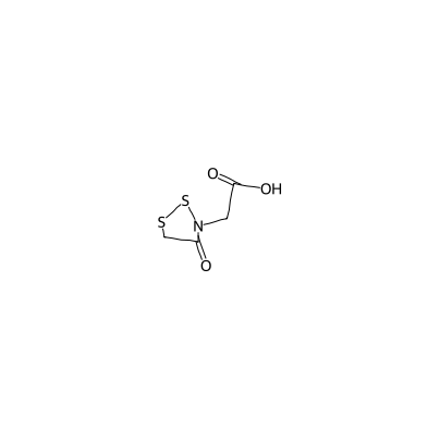 O=C(O)CN1SSCC1=O